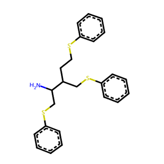 NC(CSc1ccccc1)C(CCSc1ccccc1)CSc1ccccc1